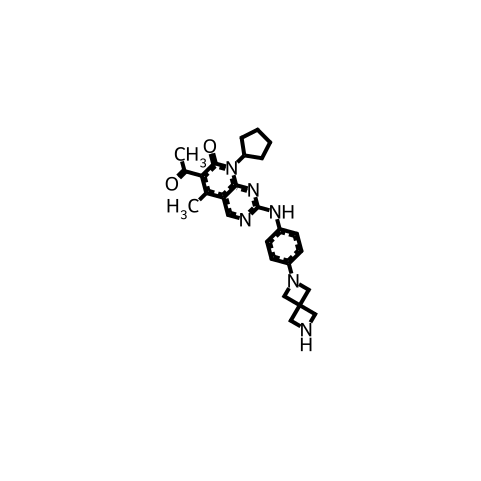 CC(=O)c1c(C)c2cnc(Nc3ccc(N4CC5(CNC5)C4)cc3)nc2n(C2CCCC2)c1=O